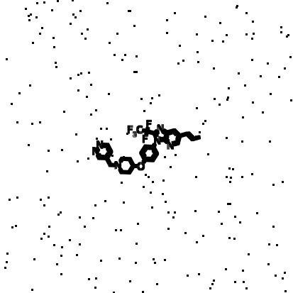 C/C=C/c1cnc2c(c1)nc(C(F)(F)C(F)(F)F)n2-c1ccc(OC2CCN(Cc3ccnnc3)CC2)cc1